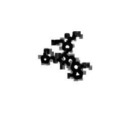 C=CC(=O)N1CCN(C2NC(OC[C@H]3CCCN3C)NC3C[C@@]4(CCC32)Cc2c(F)cccc2N(C)C4)C[C@H]1CC#N